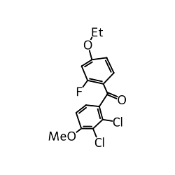 CCOc1ccc(C(=O)c2ccc(OC)c(Cl)c2Cl)c(F)c1